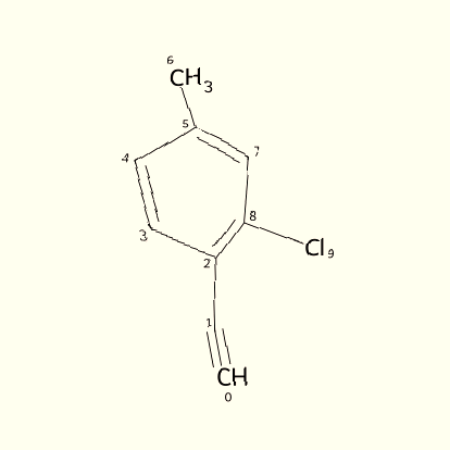 C#Cc1ccc(C)cc1Cl